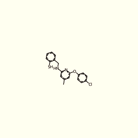 Cc1cc(NCc2ccccc2S)nc(Oc2ccc(Cl)cc2)c1